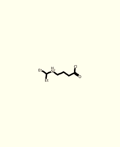 CCC(CC)[SiH2]CCCC(=O)Cl